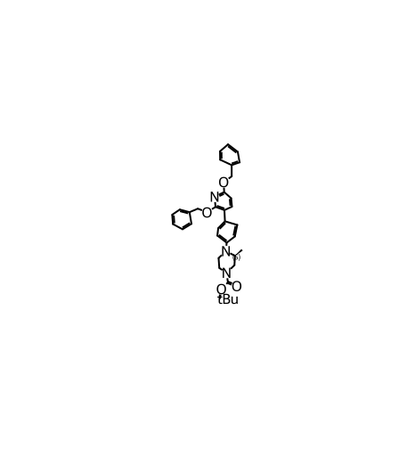 C[C@H]1CN(C(=O)OC(C)(C)C)CCN1c1ccc(-c2ccc(OCc3ccccc3)nc2OCc2ccccc2)cc1